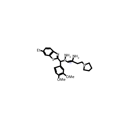 CCc1ccc2nc(C(c3ccc(OC)c(OC)c3)N(N)/C=C(\N)CCN3CCCC3)sc2c1